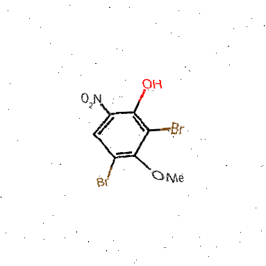 COc1c(Br)cc([N+](=O)[O-])c(O)c1Br